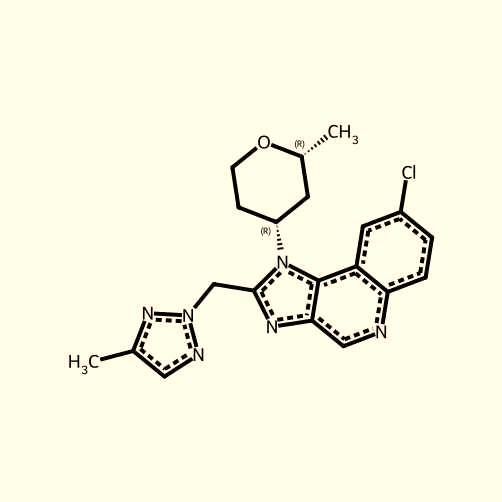 Cc1cnn(Cc2nc3cnc4ccc(Cl)cc4c3n2[C@@H]2CCO[C@H](C)C2)n1